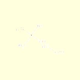 CC(C)(C)C(C)(N)O.O=CO